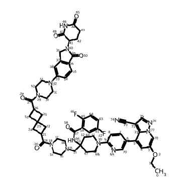 CCOc1cc(-c2ccc(N3CCC(CN4CCN(C(=O)C5CC6(C5)CC(C(=O)N5CCN(c7ccc8c(c7)CN(C7CCC(=O)NC7=O)C8=O)CC5)C6)CC4)(NC(=O)c4cc(F)ccc4F)CC3)nc2)c2c(C#N)cnn2c1